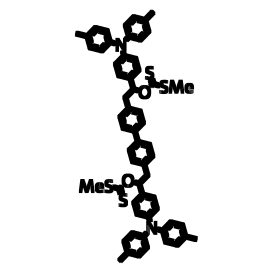 CSC(=S)OC(Cc1ccc(-c2ccc(CC(OC(=S)SC)c3ccc(N(c4ccc(C)cc4)c4ccc(C)cc4)cc3)cc2)cc1)c1ccc(N(c2ccc(C)cc2)c2ccc(C)cc2)cc1